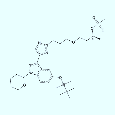 C[C@@H](CCOCCCn1ncc(-c2nn(C3CCCCO3)c3ccc(O[Si](C)(C)C(C)(C)C)cc23)n1)OS(C)(=O)=O